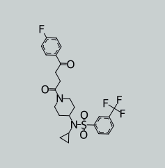 O=C(CCC(=O)N1CCC(N(C2CC2)S(=O)(=O)c2cccc(C(F)(F)F)c2)CC1)c1ccc(F)cc1